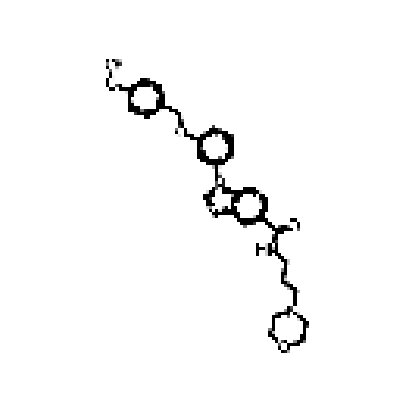 O=C(NCCCN1CCOCC1)c1ccc2c(c1)ncn2-c1cccc(OCc2ccc(OC(F)(F)F)cc2)c1